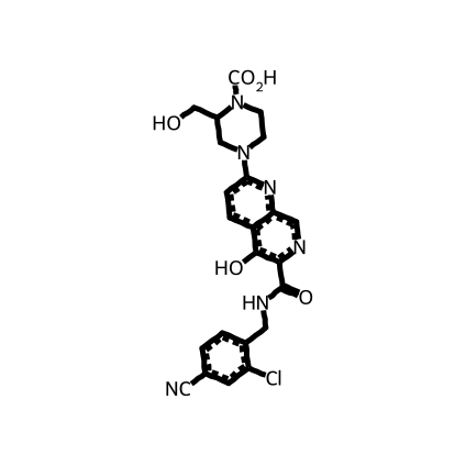 N#Cc1ccc(CNC(=O)c2ncc3nc(N4CCN(C(=O)O)C(CO)C4)ccc3c2O)c(Cl)c1